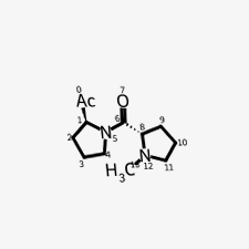 CC(=O)[C@@H]1CCCN1C(=O)[C@@H]1CCCN1C